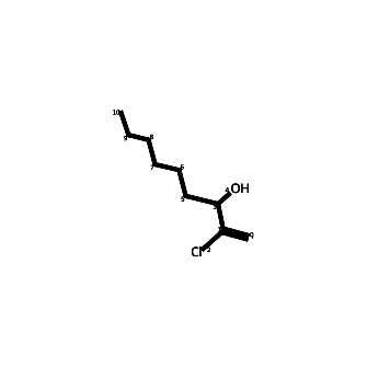 [CH]=C(Cl)C(O)CCCCCC